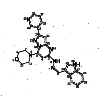 C(=N/Nc1cc(N2CCOCC2)n2nc(-c3cccnc3)cc2n1)/c1c[nH]c2ccccc12